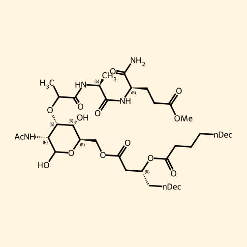 CCCCCCCCCCCCCC(=O)O[C@H](CCCCCCCCCCC)CC(=O)OC[C@H]1OC(O)[C@H](NC(C)=O)[C@H](OC(C)C(=O)N[C@@H](C)C(=O)N[C@H](CCC(=O)OC)C(N)=O)[C@@H]1O